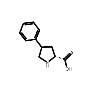 OC(=S)[C@H]1CC(c2ccccc2)CN1